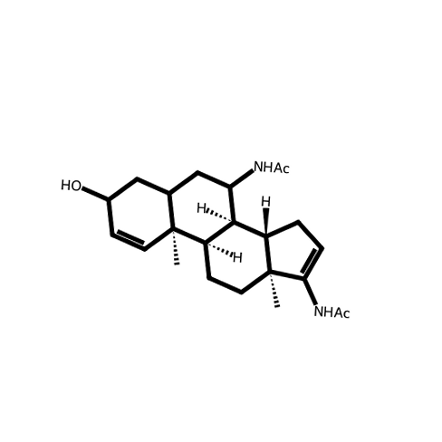 CC(=O)NC1=CC[C@H]2[C@@H]3C(NC(C)=O)CC4CC(O)C=C[C@]4(C)[C@@H]3CC[C@]12C